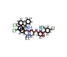 CCC(CC(c1ccc(Cl)c(Cl)c1)C(NCCCCNC(=O)c1ccc(Cl)cc1Cl)NC(c1ccccc1)(c1ccccc1)c1ccccc1)N1CCC(Cc2ccccc2)CC1